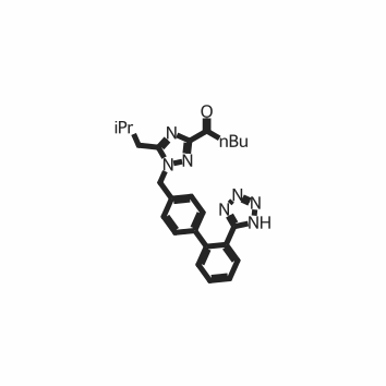 CCCCC(=O)c1nc(CC(C)C)n(Cc2ccc(-c3ccccc3-c3nnn[nH]3)cc2)n1